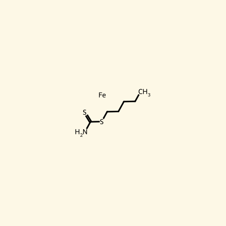 CCCCCSC(N)=S.[Fe]